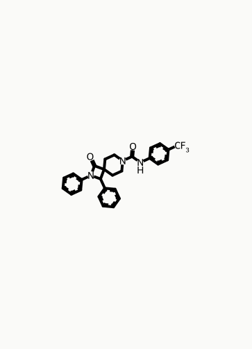 O=C(Nc1ccc(C(F)(F)F)cc1)N1CCC2(CC1)C(=O)N(c1ccccc1)C2c1ccccc1